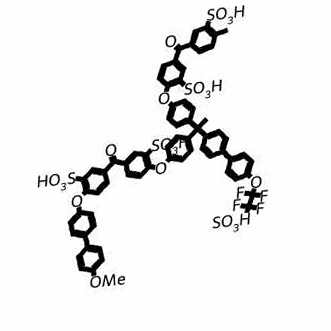 COc1ccc(-c2ccc(Oc3ccc(C(=O)c4ccc(Oc5ccc(C(C)(c6ccc(Oc7ccc(C(=O)c8ccc(C)c(S(=O)(=O)O)c8)cc7S(=O)(=O)O)cc6)c6ccc(-c7ccc(OC(F)(F)C(F)(F)S(=O)(=O)O)cc7)cc6)cc5)c(S(=O)(=O)O)c4)cc3S(=O)(=O)O)cc2)cc1